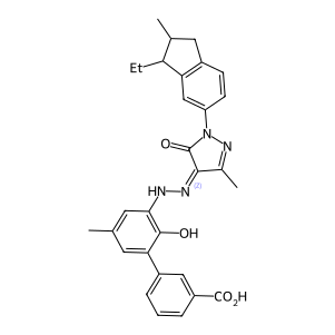 CCC1c2cc(N3N=C(C)/C(=N/Nc4cc(C)cc(-c5cccc(C(=O)O)c5)c4O)C3=O)ccc2CC1C